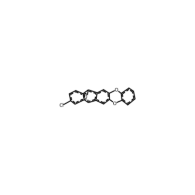 Clc1ccc2c(c1)c1oc2c2cc3c(cc21)Oc1ccccc1O3